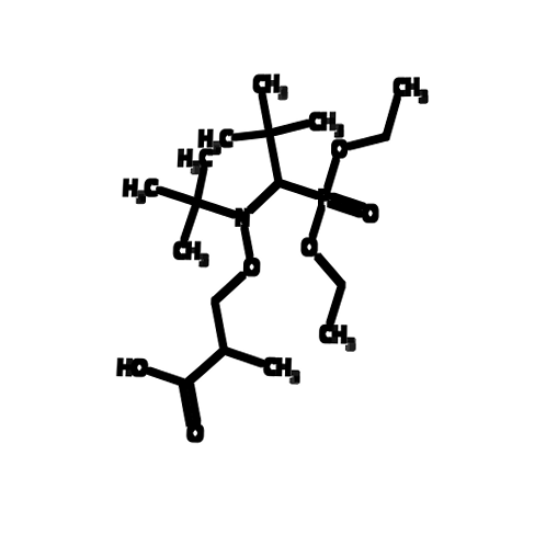 CCOP(=O)(OCC)C(N(OCC(C)C(=O)O)C(C)(C)C)C(C)(C)C